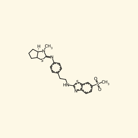 CN1/C(=N/c2ccc(CCNc3nc4ccc(S(C)(=O)=O)cc4s3)cc2)SC2CCC[C@H]21